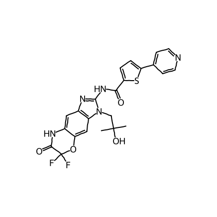 CC(C)(O)Cn1c(NC(=O)c2ccc(-c3ccncc3)s2)nc2cc3c(cc21)OC(F)(F)C(=O)N3